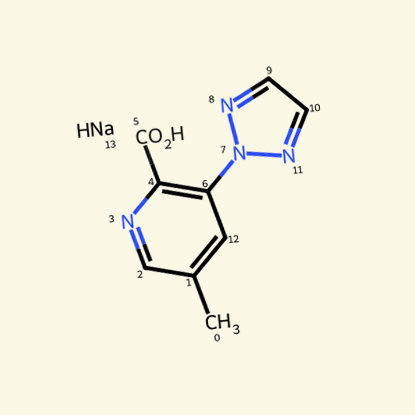 Cc1cnc(C(=O)O)c(-n2nccn2)c1.[NaH]